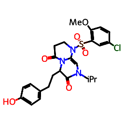 COc1ccc(Cl)cc1S(=O)(=O)N1CCC(=O)N2C1=CN(C(C)C)C(=O)C2CCc1ccc(O)cc1